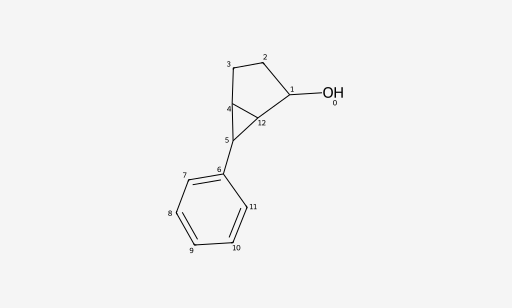 OC1CCC2C(c3ccccc3)C12